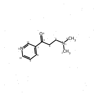 CN(C)CCC(=O)c1cccnc1